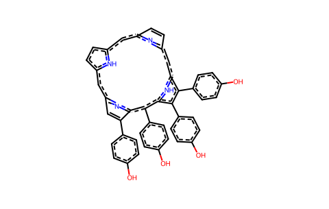 Oc1ccc(C2=Cc3cc4ccc(cc5nc(cc6[nH]c(c(-c7ccc(O)cc7)c2n3)c(-c2ccc(O)cc2)c6-c2ccc(O)cc2)C=C5)[nH]4)cc1